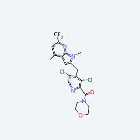 Cc1cc(C(F)(F)F)nc2c1cc(Cc1c(Cl)cnc(C(=O)N3CCOCC3)c1Cl)n2C